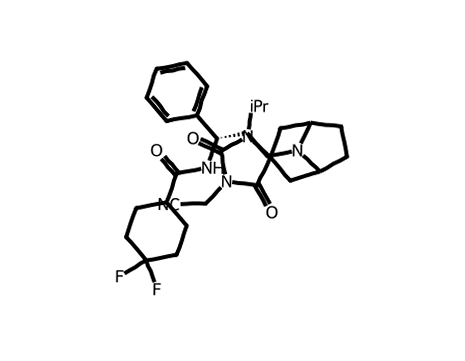 CC(C)N1C(=O)N(CC#N)C(=O)C12CC1CCC(C2)N1CC[C@H](NC(=O)C1CCC(F)(F)CC1)c1ccccc1